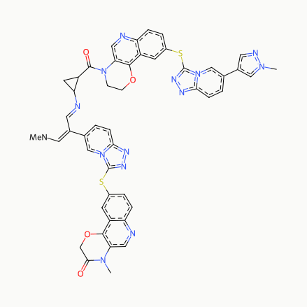 CN/C=C(\C=N\C1CC1C(=O)N1CCOc2c1cnc1ccc(Sc3nnc4ccc(-c5cnn(C)c5)cn34)cc21)c1ccc2nnc(Sc3ccc4ncc5c(c4c3)OCC(=O)N5C)n2c1